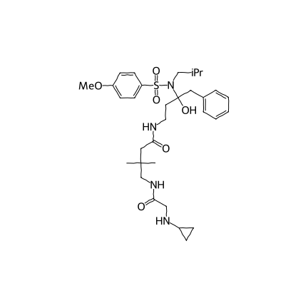 COc1ccc(S(=O)(=O)N(CC(C)C)C(O)(CCNC(=O)CC(C)(C)CNC(=O)CNC2CC2)Cc2ccccc2)cc1